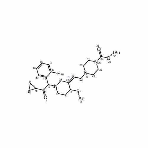 CC(=O)SC1CCN(C(C(=O)C2CC2)c2ccccc2F)C/C1=C/CN1CCN(C(=O)OC(C)(C)C)CC1